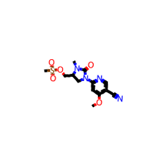 COc1cc(N2CC(COS(C)(=O)=O)N(C)C2=O)ncc1C#N